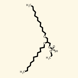 CCCCCCCCCCCCOCC(COP(=O)(S)OCC)OCCCCCCCCCCCC